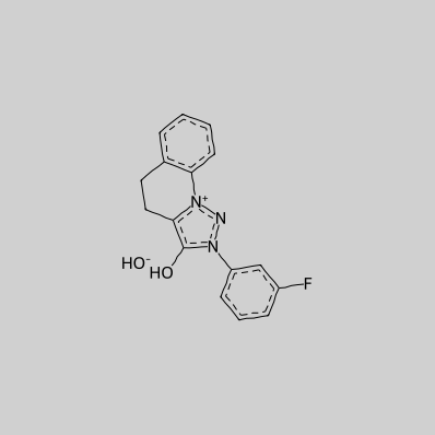 Oc1c2[n+](nn1-c1cccc(F)c1)-c1ccccc1CC2.[OH-]